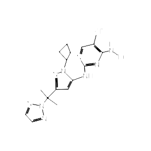 CCNc1nc(Nc2cc(C(C)(C)n3nccn3)nn2C2CCC2)ncc1C(F)(F)F